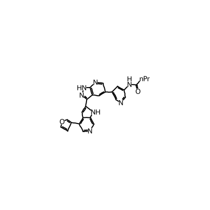 CCCC(=O)Nc1cncc(-c2cnc3[nH]nc(-c4cc5c(-c6ccoc6)cncc5[nH]4)c3c2)c1